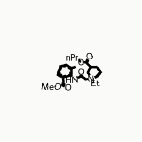 CCCOC(=O)C1CCC[N+](CC)(CC(=O)Nc2c(C)cccc2C(=O)OC)C1